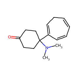 CN(C)C1(C2=CCC=CC=C2)CCC(=O)CC1